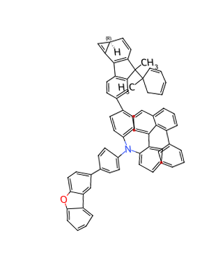 CC1(C2(C)C3=C(C4=C[C@H]4C=C3)c3ccc(-c4ccc(N(c5ccc(-c6ccc7oc8ccccc8c7c6)cc5)c5ccccc5-c5cccc6cccc(-c7ccccc7)c56)cc4)cc32)C=CC=CC1